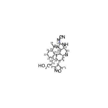 Cc1noc(C)c1-c1cc2ncc3[nH]/c(=N\C#N)n([C@H](C)c4ccccc4)c3c2cc1CCC(=O)O